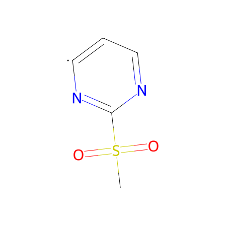 CS(=O)(=O)c1n[c]ccn1